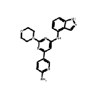 Nc1ccc(-c2cc(Nc3cccc4[nH]ncc34)nc(N3CCOCC3)n2)cn1